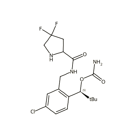 CC(C)(C)[C@H](OC(N)=O)c1ccc(Cl)cc1CNC(=O)C1CC(F)(F)CN1